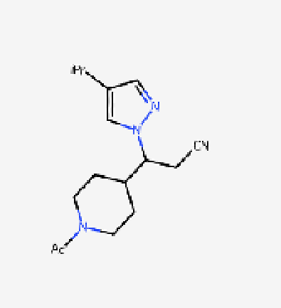 CC(=O)N1CCC(C(CC#N)n2cc(C(C)C)cn2)CC1